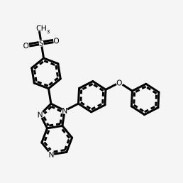 CS(=O)(=O)c1ccc(-c2nc3cnccc3n2-c2ccc(Oc3ccccc3)cc2)cc1